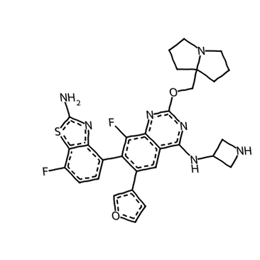 Nc1nc2c(-c3c(-c4ccoc4)cc4c(NC5CNC5)nc(OCC56CCCN5CCC6)nc4c3F)ccc(F)c2s1